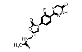 CC(=S)NC[C@H]1CN(c2ccc(C3=NNC(=O)CS3)c(F)c2)C(=O)O1